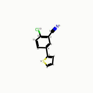 N#Cc1cc(-c2cccs2)ccc1Cl